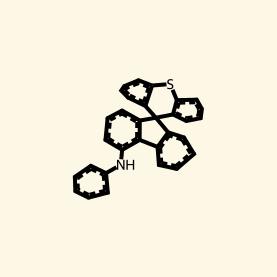 c1ccc(Nc2cccc3c2-c2ccccc2C32c3ccccc3Sc3ccccc32)cc1